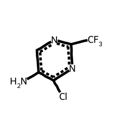 Nc1cnc(C(F)(F)F)nc1Cl